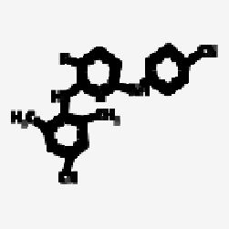 Cc1cc(C#N)cc(C)c1Nc1nc(Nc2ccc(C#N)cc2)ccc1F